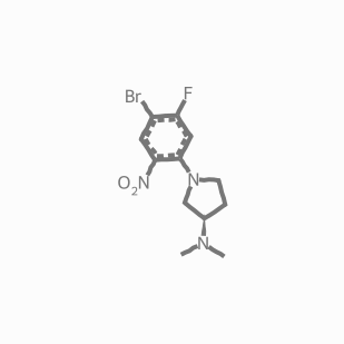 CN(C)[C@@H]1CCN(c2cc(F)c(Br)cc2[N+](=O)[O-])C1